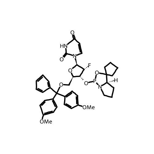 COc1ccc(C(OC[C@H]2O[C@@H](n3ccc(=O)[nH]c3=O)[C@H](F)[C@@H]2OP2OC3(CCCC3)[C@H]3CCCN32)(c2ccccc2)c2ccc(OC)cc2)cc1